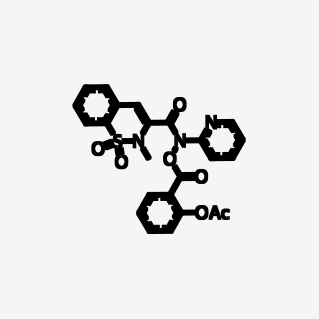 CC(=O)Oc1ccccc1C(=O)ON(C(=O)C1=Cc2ccccc2S(=O)(=O)N1C)c1ccccn1